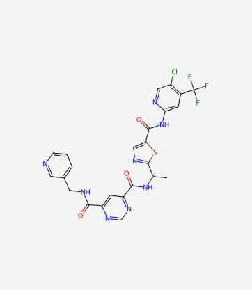 CC(NC(=O)c1cc(C(=O)NCc2cccnc2)ncn1)c1ncc(C(=O)Nc2cc(C(F)(F)F)c(Cl)cn2)s1